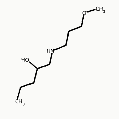 CCCC(O)CNCCCOC